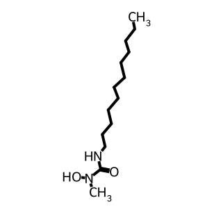 CCCCCCCCCCCCNC(=O)N(C)O